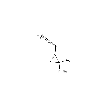 C=C=C[C@@H]1C[C@@]1(NC(C)=O)C(C)=O